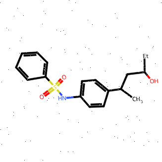 CCC(O)[CH]C(C)c1ccc(NS(=O)(=O)c2ccccc2)cc1